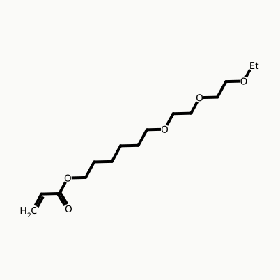 C=CC(=O)OCCCCCCOCCOCCOCC